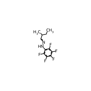 CCC(C)C=NNc1c(F)c(F)c(F)c(F)c1F